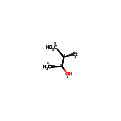 CC[C@H](C(=O)O)[C@H](C)O